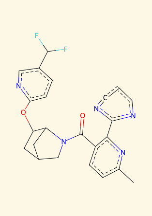 Cc1ccc(C(=O)N2CC3CC(Oc4ccc(C(F)F)cn4)C2C3)c(-c2ncccn2)n1